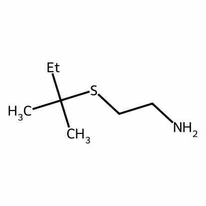 CCC(C)(C)SCCN